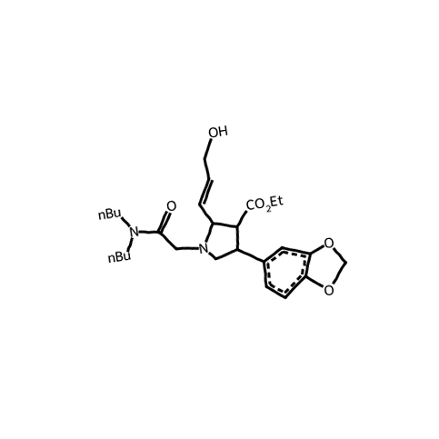 CCCCN(CCCC)C(=O)CN1CC(c2ccc3c(c2)OCO3)C(C(=O)OCC)C1/C=C/CO